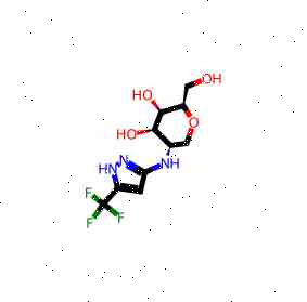 OC[C@H]1OC[C@H](Nc2cc(C(F)(F)F)[nH]n2)[C@@H](O)[C@H]1O